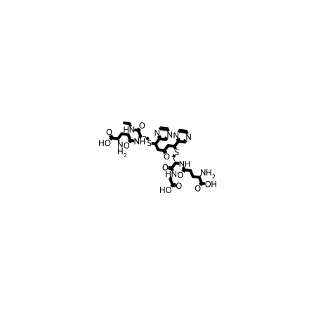 CCNC(=O)[C@H](CSC(CC(=O)CC(SC[C@H](NC(=O)CC[C@H](N)C(=O)O)C(=O)NCC(=O)O)c1cnccn1)c1cnccn1)NC(=O)CC[C@@H](N)C(=O)O